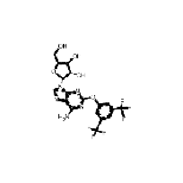 Nc1nc(Oc2cc(C(F)(F)F)cc(C(F)(F)F)c2)nc2c1ncn2[C@@H]1OC(CO)C(O)[C@H]1O